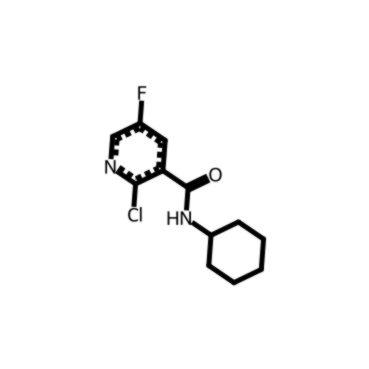 O=C(NC1CCCCC1)c1cc(F)cnc1Cl